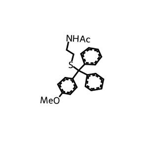 COc1ccc(C(SCCNC(C)=O)(c2ccccc2)c2ccccc2)cc1